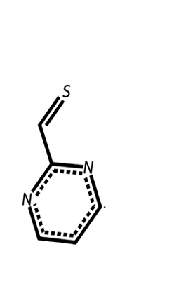 S=Cc1n[c]ccn1